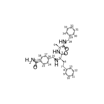 C[C@H](NC(=O)[C@@H](CCc1ccccc1)NCc1ccc(C(N)=O)cc1)C(=O)NCc1cc[c]cc1